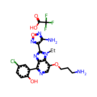 CCn1c(-c2nonc2N)nc2c(-c3cc(Cl)ccc3O)ncc(OCCCN)c21.O=C(O)C(F)(F)F